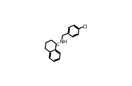 Clc1ccc(CN[C@H]2CCCc3ccccc32)cc1